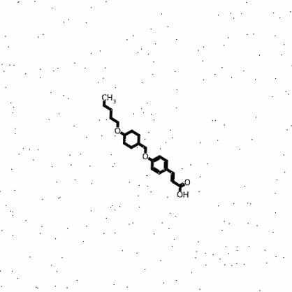 CCCCCOC1CCC(COc2ccc(C=CC(=O)O)cc2)CC1